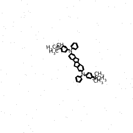 C[Si](C)(C)c1ccc(N(c2ccccc2)c2ccc3c(c2)CC2=C3Cc3cc(N(c4ccccc4)c4ccc([Si](C)(C)C)cc4)ccc32)cc1